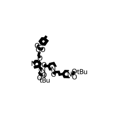 Cc1ccc(S(=O)(=O)OCCOc2cncc([C@H](CC(=O)OC(C)(C)C)NC(=O)C3CCCN(C(=O)CCC4CCN(C(=O)OC(C)(C)C)CC4)C3)c2)cc1